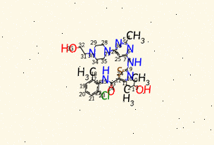 CC(C)O.Cc1nc(Nc2ncc(C(=O)Nc3c(C)cccc3Cl)s2)cc(N2CCN(CCO)CC2)n1